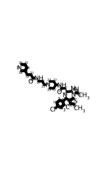 Cc1sc2c(c1C)C(c1ccc(Cl)cc1)=N[C@@H](CC(=O)NC1CCN(CCCNC(=O)/C=C/c3cccnc3)CC1)c1nnc(C)n1-2